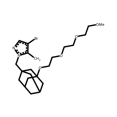 COCCOCCOCCOC12CC3CC(CC(Cn4ncc(Br)c4C)(C3)C1)C2